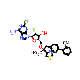 N#Cc1ccccc1-c1ccc(CC(OC[C@H]2O[C@@H](n3cnc4c(N)nc(Cl)nc43)[C@@H](F)[C@@H]2O)(C(=O)O)c2cscn2)cc1